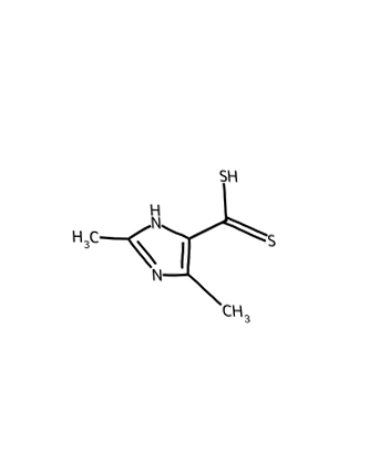 Cc1nc(C)c(C(=S)S)[nH]1